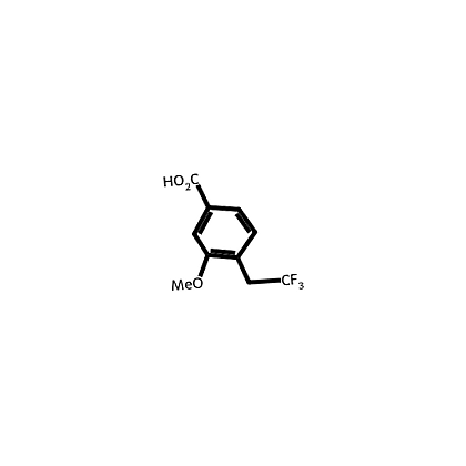 COc1cc(C(=O)O)ccc1CC(F)(F)F